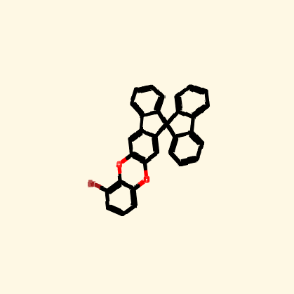 Brc1cccc2c1Oc1cc3c(cc1O2)C1(c2ccccc2-c2ccccc21)c1ccccc1-3